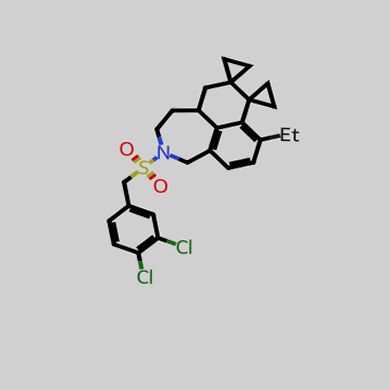 CCc1ccc2c3c1C1(CC1)C1(CC1)CC3CCN(S(=O)(=O)Cc1ccc(Cl)c(Cl)c1)C2